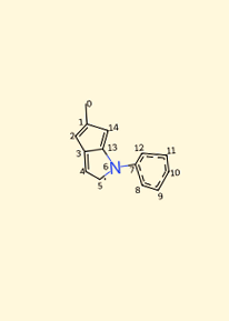 CC1=CC2=C[CH]N(c3ccccc3)C2=C1